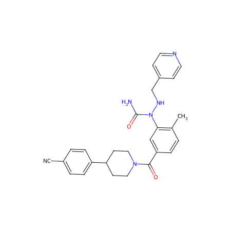 Cc1ccc(C(=O)N2CCC(c3ccc(C#N)cc3)CC2)cc1N(NCc1ccncc1)C(N)=O